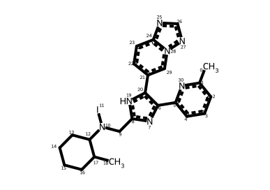 Cc1cccc(-c2nc(CN(I)C3CCCCC3C)[nH]c2-c2ccc3ncnn3c2)n1